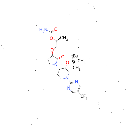 C[C@@H](CO[C@@H]1CCN([C@H]2CCN(c3ncc(C(F)(F)F)cn3)C[C@H]2O[Si](C)(C)C(C)(C)C)C1=O)OC(N)=O